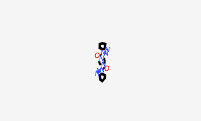 O=C(N1CCN(C(=O)n2nnc3ccccc32)CC1)n1nnc2ccccc21